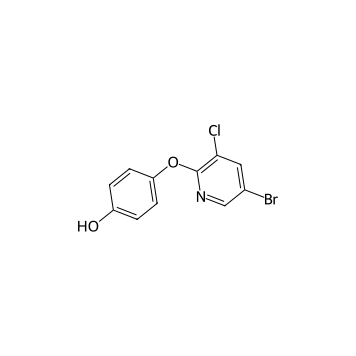 Oc1ccc(Oc2ncc(Br)cc2Cl)cc1